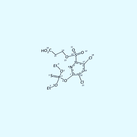 CCOP(=S)(OCC)Oc1nc(S(=O)(=O)OCCC(=O)O)c(Cl)cc1Cl